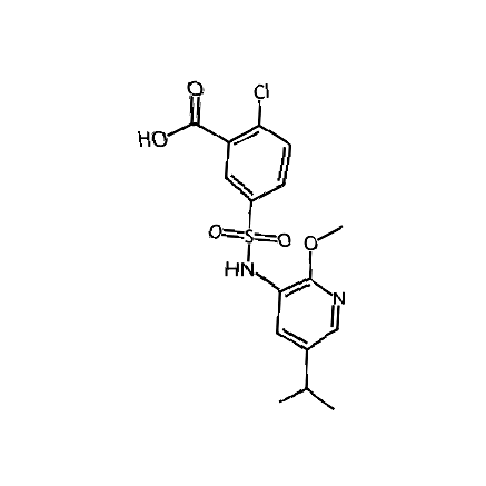 COc1ncc(C(C)C)cc1NS(=O)(=O)c1ccc(Cl)c(C(=O)O)c1